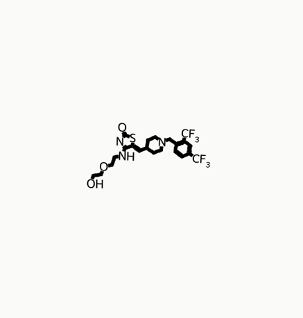 O=C1N=C(NCCOCCO)C(=CC2CCN(Cc3ccc(C(F)(F)F)cc3C(F)(F)F)CC2)S1